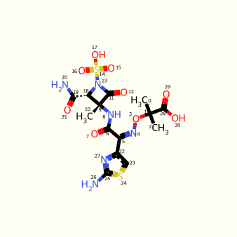 CC(C)(O/N=C(\C(=O)N[C@@]1(C)C(=O)N(S(=O)(=O)O)[C@H]1C(N)=O)c1csc(N)n1)C(=O)O